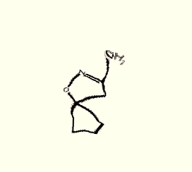 BC1=NOC2(CCCC2)C1